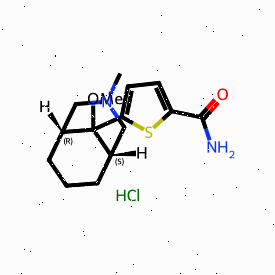 COC1(c2ccc(C(N)=O)s2)[C@@H]2CCC[C@H]1CN(C)C2.Cl